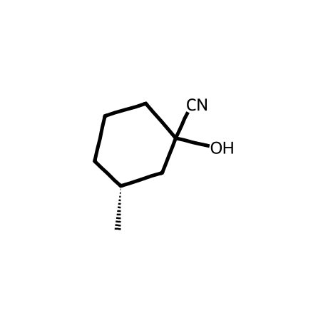 C[C@@H]1CCCC(O)(C#N)C1